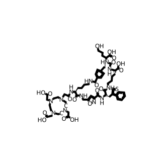 O=C(O)CN1CCN(CC(=O)O)CCN(CC(=O)N[C@@H](CCCCNC(=O)c2ccc(I)cc2)C(=O)NCc2cc(C(=O)N[C@@H](Cc3csc4ccccc34)C(=O)NCCCC[C@H](NC(=O)NC(CCCO)C(=O)O)C(=O)O)no2)CCN(CC(=O)O)CC1